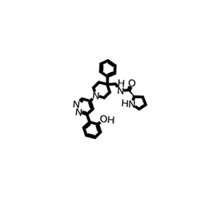 O=C(NCC1(c2ccccc2)CCN(c2cnnc(-c3ccccc3O)c2)CC1)[C@H]1CCCN1